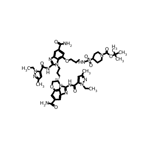 CCn1nc(C)cc1C(=O)Nc1nc2cc(C(N)=O)cc(OCCCNS(=O)(=O)C3CCN(C(=O)OC(C)(C)C)CC3)c2n1CCC[C@H]1COc2cc(C(N)=O)cc3nc(NC(=O)c4cc(C)nn4CC)n1c23